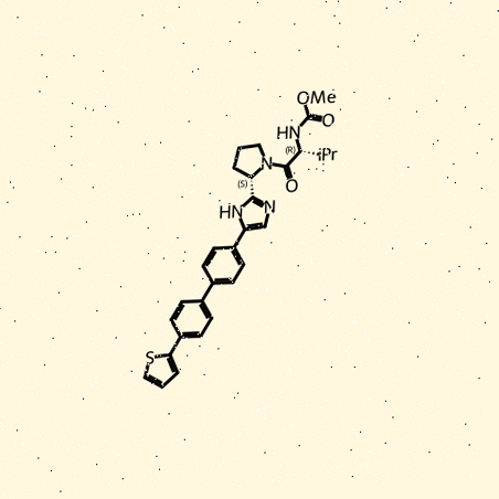 COC(=O)N[C@@H](C(=O)N1CCC[C@H]1c1ncc(-c2ccc(-c3ccc(-c4cccs4)cc3)cc2)[nH]1)C(C)C